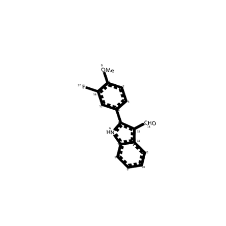 COc1ccc(-c2[nH]c3ccccc3c2C=O)cc1F